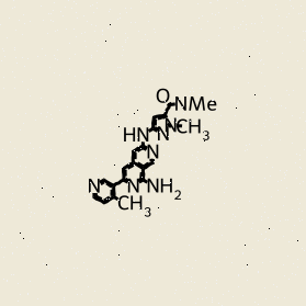 CNC(=O)c1cc(Nc2cc3cc(-c4cnccc4C)nc(N)c3cn2)nn1C